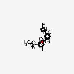 Cc1nnc([C@@]23C[C@@H](C[C@@H](C(F)(F)F)C2)N3C(=O)Nc2ccc(Cl)c(-n3ccc(F)n3)c2)o1